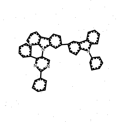 c1ccc(-c2ncc(-n3c4cc(-c5ccc6c(c5)c5ccccc5n6-c5ccccc5)ccc4c4cccnc43)c(-c3ccccc3)n2)cc1